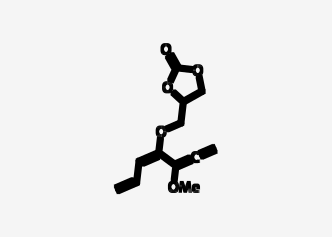 C=C=C(OC)/C(=C\C=C)OCC1COC(=O)O1